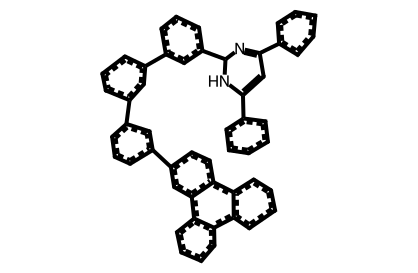 C1=C(c2ccccc2)NC(c2cccc(-c3cccc(-c4cccc(-c5ccc6c7ccccc7c7ccccc7c6c5)c4)c3)c2)N=C1c1ccccc1